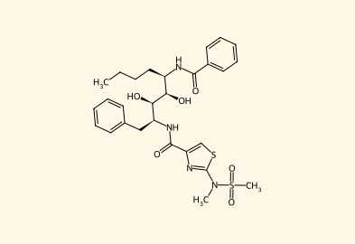 CCCC[C@@H](NC(=O)c1ccccc1)[C@@H](O)[C@H](O)[C@H](Cc1ccccc1)NC(=O)c1csc(N(C)S(C)(=O)=O)n1